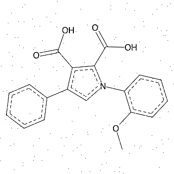 COc1ccccc1-n1cc(-c2ccccc2)c(C(=O)O)c1C(=O)O